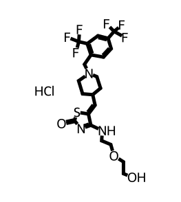 Cl.O=C1N=C(NCCOCCO)C(=CC2CCN(Cc3ccc(C(F)(F)F)cc3C(F)(F)F)CC2)S1